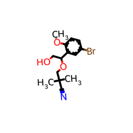 COc1ccc(Br)cc1C(CO)OCC(C)(C)C#N